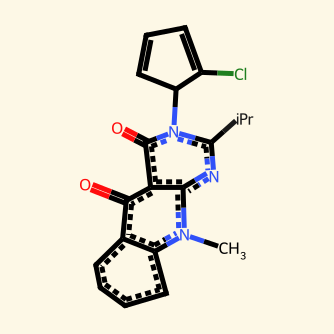 CC(C)c1nc2c(c(=O)c3ccccc3n2C)c(=O)n1C1C=CC=C1Cl